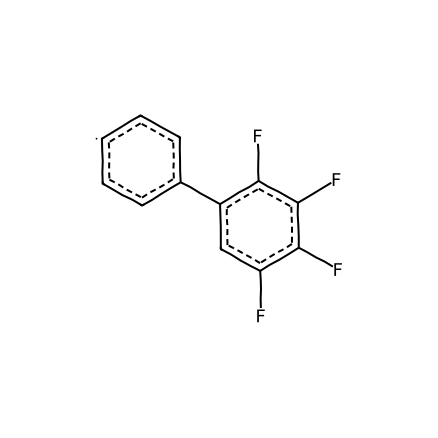 Fc1cc(-c2cc[c]cc2)c(F)c(F)c1F